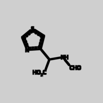 O=CNC(C(=O)O)c1cscn1